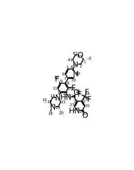 C[C@@H]1CN(c2ccc(-c3c(F)cc(N4C[C@@H](C)N(C)[C@@H](C)C4)c(NC(=O)c4c[nH]c(=O)cc4C(F)(F)F)c3F)cn2)CCO1